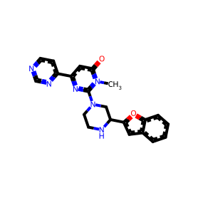 Cn1c(N2CCNC(c3cc4ccccc4o3)C2)nc(-c2ccncn2)cc1=O